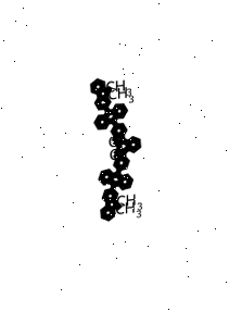 CC1(C)c2ccccc2-c2ccc(-c3c4ccccc4c(-c4ccc5c(c4)oc4c6oc7cc(-c8c9ccccc9c(-c9ccc%10c(c9)C(C)(C)c9ccccc9-%10)c9ccccc89)ccc7c6c6ccccc6c54)c4ccccc34)cc21